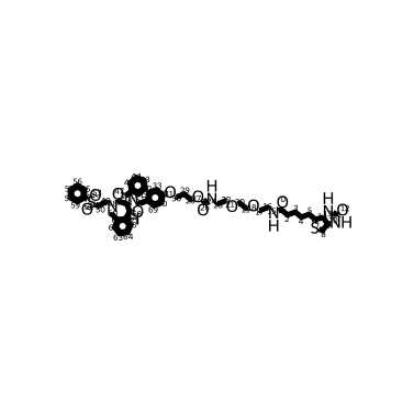 O=C(CCCCC1SCC2NC(=O)NC21)NCCOCCOCCNC(=O)OCCCOc1ccc(C2=N[C@]3(Cc4ccccc4)C(=O)N(CCS(=O)(=O)c4ccccc4)Cc4ccccc4[C@@H]3O2)cc1